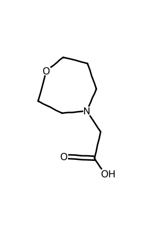 O=C(O)CN1CCCOCC1